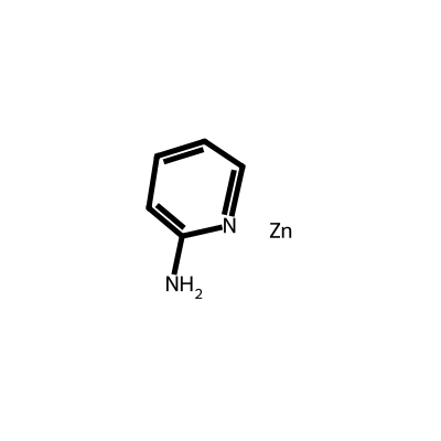 Nc1ccccn1.[Zn]